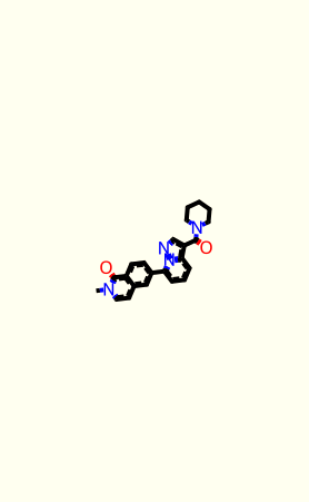 Cn1ccc2cc(-c3cccc4c(C(=O)N5CCCCC5)cnn34)ccc2c1=O